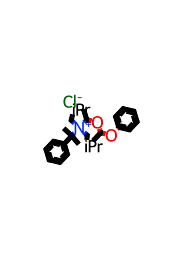 CC(C)C[N+](CC(C)C)(C(C)OC(C)Oc1ccccc1)C(C)(C)c1ccccc1.[Cl-]